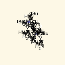 CC(C)(C)OC(=O)Nc1nc(/C(=N/O[C@](C)(C(=O)OC(C)(C)C)[C@H]2CCc3cc(-c4cn(C[C@@H](O)CN)[n+](C[C@@H]5CCNC5)c4)ccc3O2)C(=O)N[C@@H]2C(=O)N(OS(=O)(=O)ON3C(=O)[C@@H](NC(=O)/C(=N\O[C@](C)(C(=O)OC(C)(C)C)[C@H]4CCc5cc(-c6cn(C[C@@H](O)CN)[n+](C[C@@H]7CCNC7)c6)ccc5O4)c4csc(NC(=O)OC(C)(C)C)n4)C3(C)C)C2(C)C)cs1